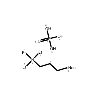 CCCCCCCCCCCC[N+](CC)(CC)CC.O=P(O)(O)O